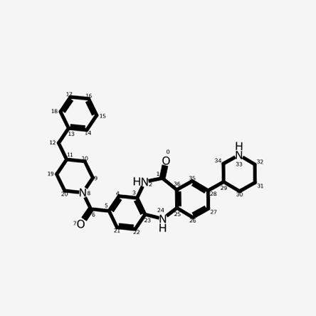 O=C1Nc2cc(C(=O)N3CCC(Cc4ccccc4)CC3)ccc2Nc2ccc(C3CCCNC3)cc21